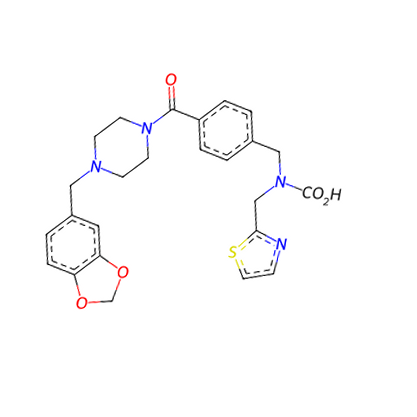 O=C(O)N(Cc1ccc(C(=O)N2CCN(Cc3ccc4c(c3)OCO4)CC2)cc1)Cc1nccs1